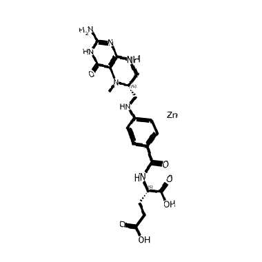 CN1c2c(nc(N)[nH]c2=O)NC[C@@H]1CNc1ccc(C(=O)N[C@@H](CCC(=O)O)C(=O)O)cc1.[Zn]